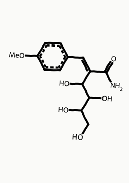 COc1ccc(C=C(C(N)=O)C(O)C(O)C(O)CO)cc1